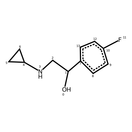 OC(CNC1CC1)c1ccc(F)cc1